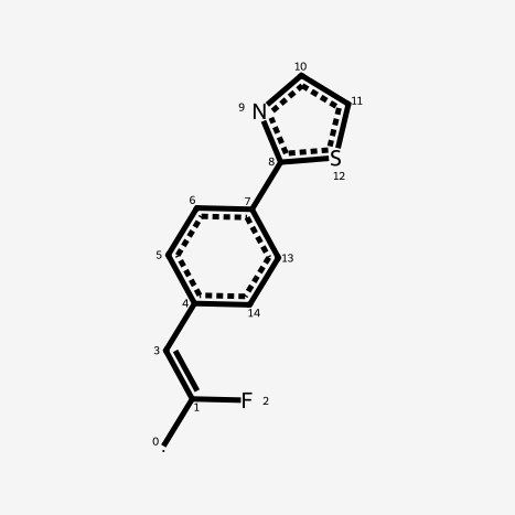 [CH2]/C(F)=C/c1ccc(-c2nccs2)cc1